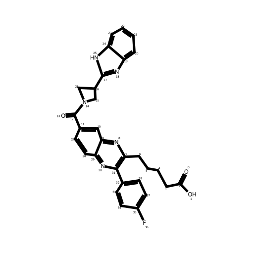 O=C(O)CCCCc1nc2cc(C(=O)N3CC(c4nc5ccccc5[nH]4)C3)ccc2nc1-c1ccc(F)cc1